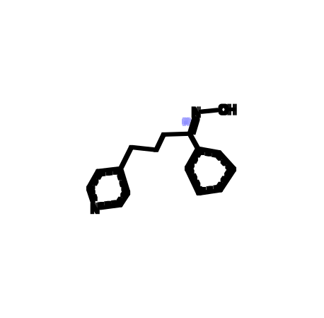 O/N=C(/CCCc1ccncc1)c1ccccc1